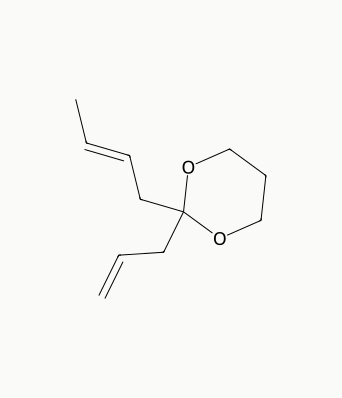 C=CCC1(CC=CC)OCCCO1